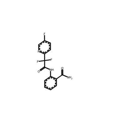 NC(=O)c1ccccc1NC(=O)C(F)(F)c1ccc(F)cn1